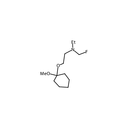 CCN(CF)CCOC1(OC)CCCCC1